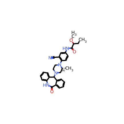 CCC(OC)C(=O)Nc1ccc(N2CCN(C3c4ccccc4NC(=O)c4ccccc43)C[C@H]2C)c(C#N)c1